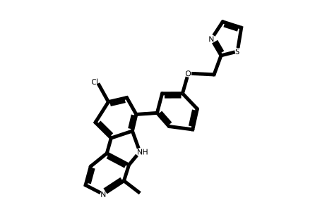 Cc1nccc2c1[nH]c1c(-c3cccc(OCc4nccs4)c3)cc(Cl)cc12